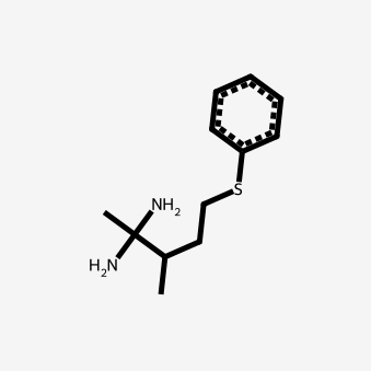 CC(CCSc1ccccc1)C(C)(N)N